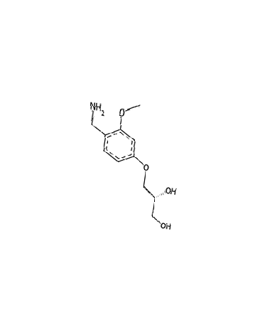 COc1cc(OC[C@H](O)CO)ccc1CN